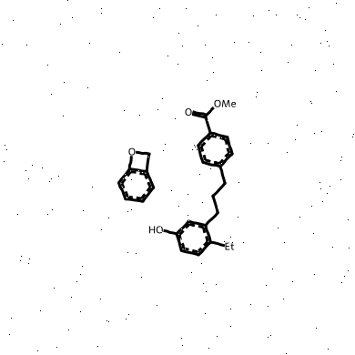 CCc1ccc(O)cc1CCCc1ccc(C(=O)OC)cc1.c1ccc2c(c1)CO2